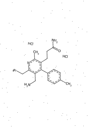 Cc1ccc(-c2c(CCC(N)=O)c(C)nc(CC(C)C)c2CN)cc1.Cl.Cl